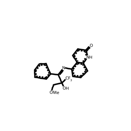 COCC(O)(C(=Nc1cccc2[nH]c(=O)ccc12)c1ccccc1)C(F)(F)F